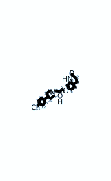 O=C1CCc2ccc(OCC(O)CN3CCC(c4ccc(Cl)cc4)CC3)cc2N1